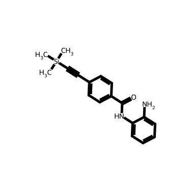 C[Si](C)(C)C#Cc1ccc(C(=O)Nc2ccccc2N)cc1